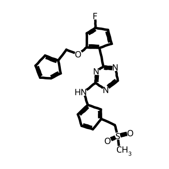 CS(=O)(=O)Cc1cccc(Nc2ncnc(-c3ccc(F)cc3OCc3ccccc3)n2)c1